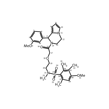 COc1cccc(C2c3cccn3CCN2C(=O)COCCN(C)S(=O)(=O)c2c(C)cc(OC)c(C)c2C)c1